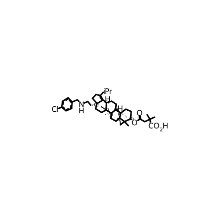 CC(C)C1=C2[C@H]3CC[C@@H]4[C@@]5(C)CC[C@H](OC(=O)CC(C)(C)C(=O)O)C6(C)C[C@]65CC[C@@]4(C)[C@]3(C)CC[C@@]2(CCNCc2ccc(Cl)cc2)CC1